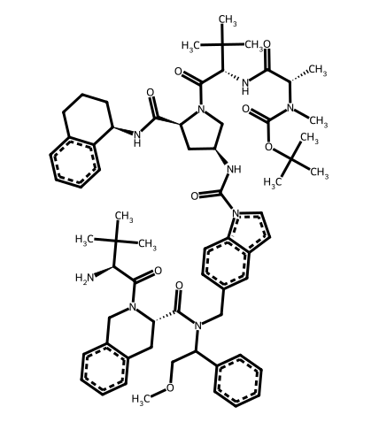 COCC(c1ccccc1)N(Cc1ccc2c(ccn2C(=O)N[C@H]2C[C@@H](C(=O)N[C@@H]3CCCc4ccccc43)N(C(=O)[C@@H](NC(=O)[C@H](C)N(C)C(=O)OC(C)(C)C)C(C)(C)C)C2)c1)C(=O)[C@@H]1Cc2ccccc2CN1C(=O)[C@@H](N)C(C)(C)C